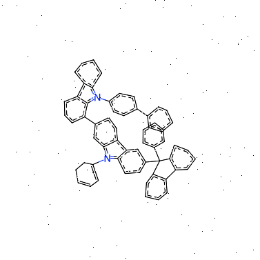 C1=CCCC(n2c3ccc(C4(c5ccccc5)c5ccccc5-c5ccccc54)cc3c3ccc(-c4cccc5c6ccccc6n(-c6ccc(-c7ccccc7)cc6)c45)cc32)=C1